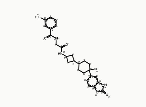 O=C(CNC(=O)c1cccc(C(F)(F)F)c1)NC1CN(C2CCC(O)(c3ccc4oc(=O)[nH]c4c3)CC2)C1